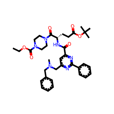 CCOC(=O)N1CCN(C(=O)[C@H](CCC(=O)OC(C)(C)C)NC(=O)c2cc(CN(C)Cc3ccccc3)nc(-c3ccccc3)n2)CC1